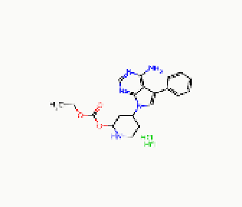 CCOC(=O)OC1CC(n2cc(-c3ccccc3)c3c(N)ncnc32)CCN1.Cl.Cl